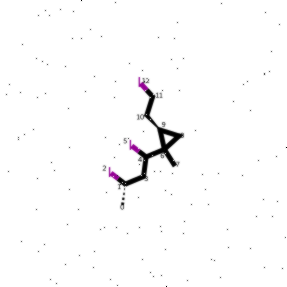 C[C@H](I)CC(I)C1(C)C[C@@H]1CCI